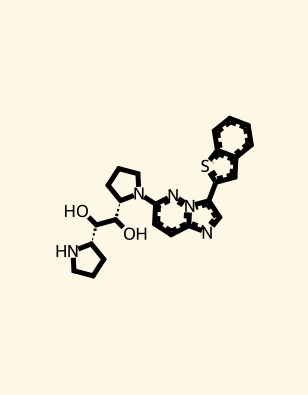 OC(C(O)[C@@H]1CCCN1c1ccc2ncc(-c3cc4ccccc4s3)n2n1)[C@@H]1CCCN1